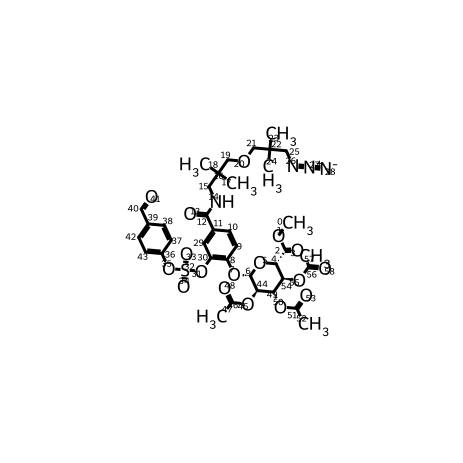 COC(=O)[C@H]1O[C@@H](Oc2ccc(C(=O)NCC(C)(C)COCC(C)(C)CN=[N+]=[N-])cc2OS(=O)(=O)Oc2ccc(C=O)cc2)[C@H](OC(C)=O)[C@@H](OC(C)=O)[C@@H]1OC(C)=O